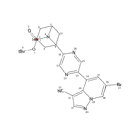 CC(C)(C)OC(=O)N1C2CNCC1(c1cnc(-c3cc(Br)cn4ncc(C#N)c34)cn1)C2